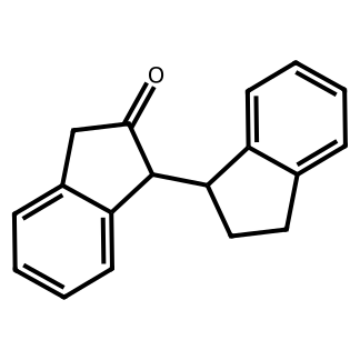 O=C1Cc2ccccc2C1C1CCc2ccccc21